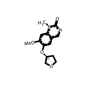 COc1cc2c(cnc(=O)n2C)cc1O[C@H]1CCOC1